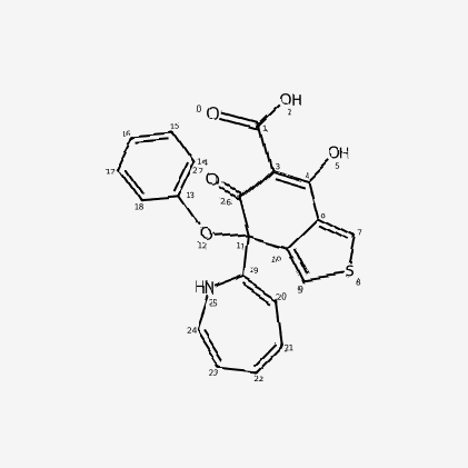 O=C(O)C1=C(O)c2cscc2C(Oc2ccccc2)(C2=CC=CC=CN2)C1=O